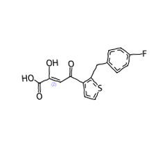 O=C(O)/C(O)=C/C(=O)c1ccsc1Cc1ccc(F)cc1